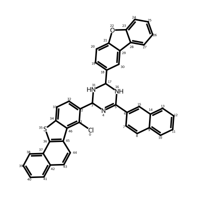 Clc1c(C2N=C(c3ccc4ccccc4c3)NC(c3ccc4oc5ccccc5c4c3)N2)ccc2sc3c4ccccc4ccc3c12